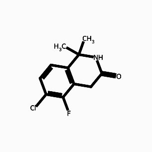 CC1(C)NC(=O)Cc2c1ccc(Cl)c2F